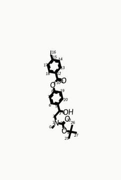 CN(CC(O)c1ccc(OC(=O)c2ccc(I)cc2)cc1)C(=O)OC(C)(C)C